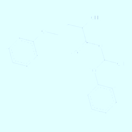 CC(OC(=O)C(C)CCOc1ccccc1)Oc1ccccc1